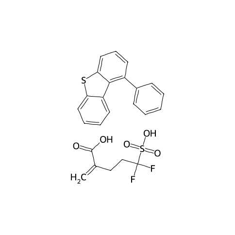 C=C(CCC(F)(F)S(=O)(=O)O)C(=O)O.c1ccc(-c2cccc3sc4ccccc4c23)cc1